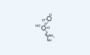 Cl.N=CN(N)N=Cc1cccc(OCc2ccc(Cl)cc2Cl)c1Cl